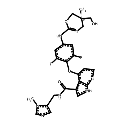 Cn1cncc1CNC(=O)c1c[nH]c2nccc(Oc3c(F)cc(NC4=NC[C@](C)(CO)CO4)cc3F)c12